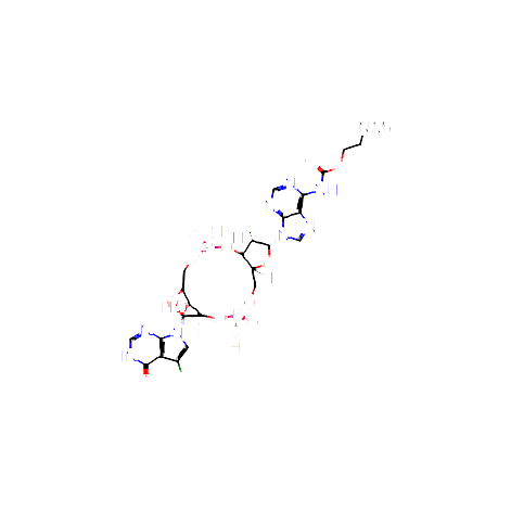 CNCCOC(=O)Nc1ncnc2c1ncn2[C@@H]1O[C@@H]2CO[P@@](=O)(S)O[C@@H]3[C@H](O)C(CO[P@@](=O)(S)O[C@H]2[C@H]1F)O[C@H]3n1cc(F)c2c(=O)[nH]cnc21